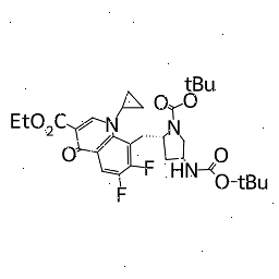 CCOC(=O)c1cn(C2CC2)c2c(C[C@H]3C[C@@H](NC(=O)OC(C)(C)C)CN3C(=O)OC(C)(C)C)c(F)c(F)cc2c1=O